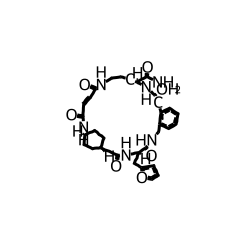 NC(=O)[C@@H]1CCCNC(=O)/C=C/C(=O)N[C@H]2CC[C@H](CC2)C(=O)N[C@@H](Cc2ccco2)C(=O)NCc2ccccc2CC(O)N1